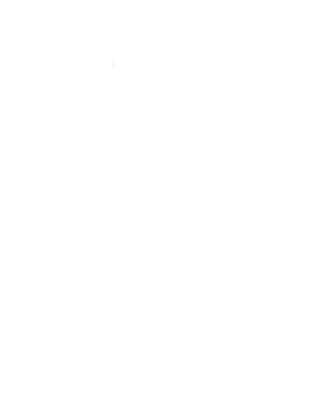 Ic1cccc(-c2ccc(C3CCCCC3)cc2)c1